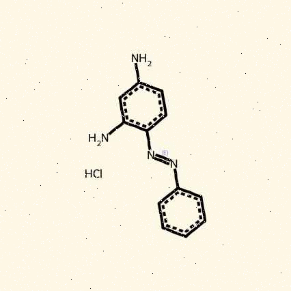 Cl.Nc1ccc(/N=N/c2ccccc2)c(N)c1